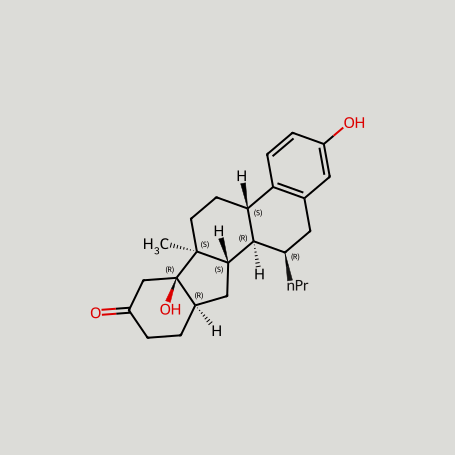 CCC[C@@H]1Cc2cc(O)ccc2[C@H]2CC[C@@]3(C)[C@@H](C[C@H]4CCC(=O)C[C@@]43O)[C@H]12